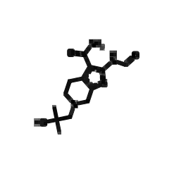 CC(C)(O)CN1CCc2c(sc(NC=O)c2C(N)=O)C1